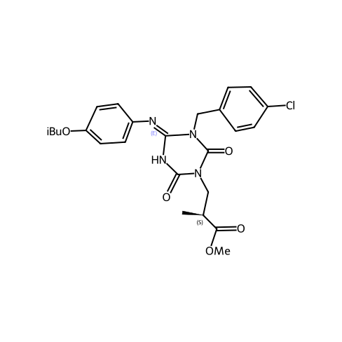 COC(=O)[C@@H](C)Cn1c(=O)[nH]/c(=N\c2ccc(OCC(C)C)cc2)n(Cc2ccc(Cl)cc2)c1=O